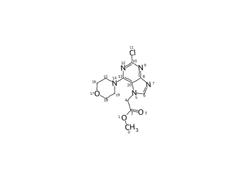 COC(=O)Cn1cnc2nc(Cl)nc(N3CCOCC3)c21